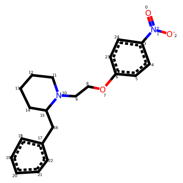 O=[N+]([O-])c1ccc(OCCN2CCCCC2Cc2ccccc2)cc1